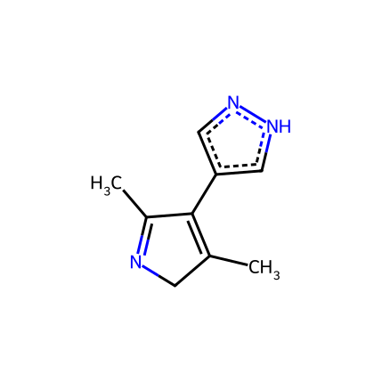 CC1=NCC(C)=C1c1cn[nH]c1